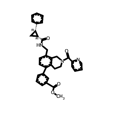 COC(=O)c1cccc(-c2ccc(CNC(=O)[C@@H]3C[C@@H]3c3ccccc3)c3c2CCN(C(=O)c2ccccn2)C3)c1